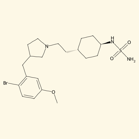 COc1ccc(Br)c(CC2CCN(CC[C@H]3CC[C@H](NS(N)(=O)=O)CC3)C2)c1